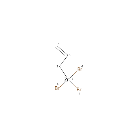 C=C[CH2][Zr]([Br])([Br])[Br]